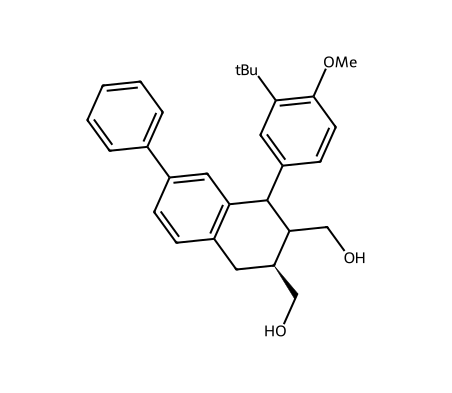 COc1ccc(C2c3cc(-c4ccccc4)ccc3C[C@H](CO)C2CO)cc1C(C)(C)C